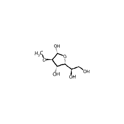 CO[C@@H]1[C@@H](O)[C@@H]([C@H](O)CO)O[C@H]1O